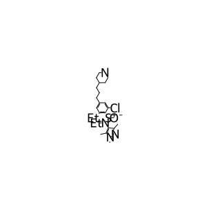 CCc1cc(CCCC2CCN(C)CC2)cc(Cl)c1[S+]([O-])N(CC)c1c(C)nn(C)c1C